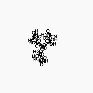 N#Cc1cc(=O)[nH]c(=O)n1[C@@H]1O[C@H](COP(=O)(OC[C@H]2O[C@@H](n3c(C#N)cc(=O)[nH]c3=O)[C@H](O)[C@@H]2O)OC[C@H]2O[C@@H](n3c(C#N)cc(=O)[nH]c3=O)[C@H](O)[C@@H]2O)[C@@H](O)[C@H]1O